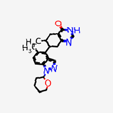 Cc1ccc2c(cnn2C2CCCCO2)c1C1Cc2nc[nH]c(=O)c2CC1C